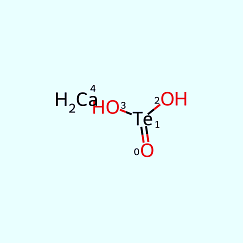 O=[Te](O)O.[CaH2]